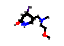 COCCN(C)Cc1c[nH]c(=O)cc1I